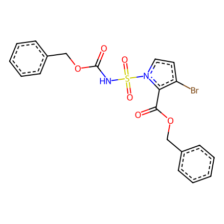 O=C(NS(=O)(=O)n1ccc(Br)c1C(=O)OCc1ccccc1)OCc1ccccc1